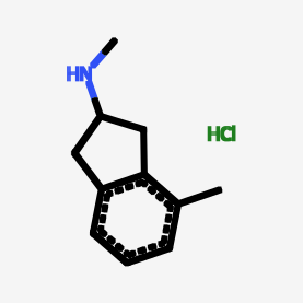 CNC1Cc2cccc(C)c2C1.Cl